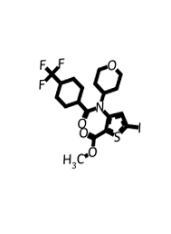 COC(=O)c1sc(I)cc1N(C(=O)C1CCC(C(F)(F)F)CC1)C1CCOCC1